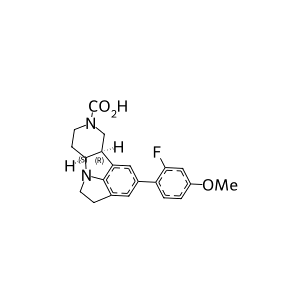 COc1ccc(-c2cc3c4c(c2)[C@@H]2CN(C(=O)O)CC[C@@H]2N4CC3)c(F)c1